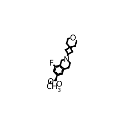 COC(=O)c1cc(F)c2c(c1)CCN(C1CC3(CCOCC3)C1)C2